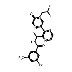 CC(NC(=O)c1cc(Br)cc(C(F)(F)F)c1)c1nccnc1-c1cn(CC(F)F)c(=O)cn1